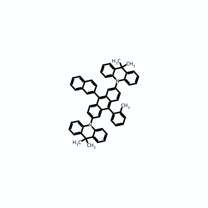 Cc1ccccc1-c1c2ccc(N3c4ccccc4C(C)(C)c4ccccc43)cc2c(-c2ccc3ccccc3c2)c2ccc(N3c4ccccc4C(C)(C)c4ccccc43)cc12